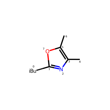 CCC(C)c1nc(C)c(C)o1